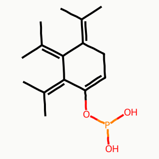 CC(C)=C1CC=C(OP(O)O)C(=C(C)C)C1=C(C)C